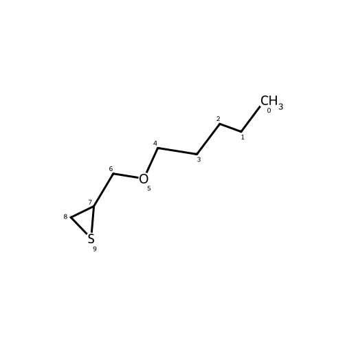 CCCCCOCC1CS1